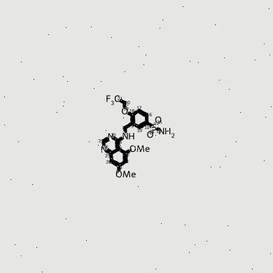 COc1cc(OC)c2c(NCc3cc(S(N)(=O)=O)ccc3OCC(F)(F)F)ncnc2c1